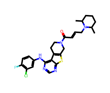 CC1CCCC(C)N1C/C=C/C(=O)N1CCc2c(sc3ncnc(Nc4ccc(F)c(Cl)c4)c23)C1